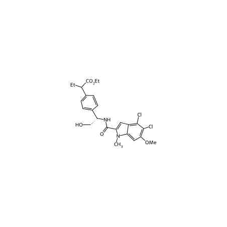 CCOC(=O)C(CC)c1ccc([C@@H](CO)NC(=O)c2cc3c(Cl)c(Cl)c(OC)cc3n2C)cc1